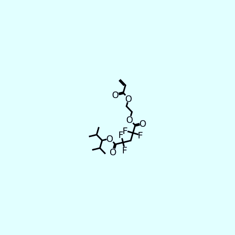 C=CC(=O)OCCOC(=O)C(F)(F)CC(F)(F)C(=O)OC(C(C)C)C(C)C